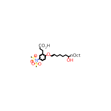 CCCCCCCCC(O)CCCCC=COc1ccc(N(S(C)(=O)=O)S(C)(=O)=O)cc1CCC(=O)O